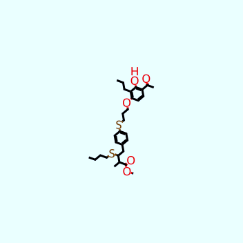 CCCCSC(Cc1ccc(SCCCOc2ccc(C(C)=O)c(O)c2CCC)cc1)C(C)C(=O)OC